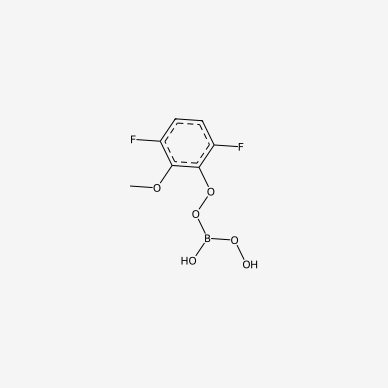 COc1c(F)ccc(F)c1OOB(O)OO